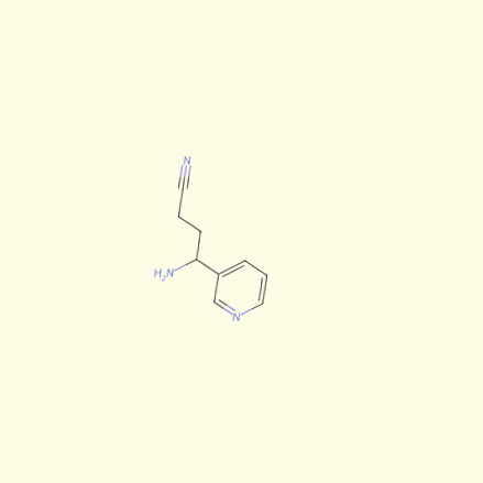 N#CCCC(N)c1cccnc1